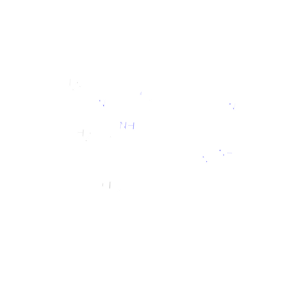 C=C/N=C(\C=C1\C=CC(c2cncc3[nH]ncc23)=CC1)NC(=C)CCC